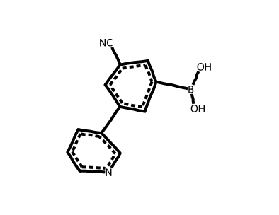 N#Cc1cc(B(O)O)cc(-c2cccnc2)c1